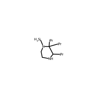 CC(C)C1NCCN([SiH3])C1(C(C)C)C(C)C